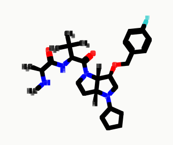 CN[C@@H](C)C(=O)N[C@H](C(=O)N1CC[C@@H]2[C@H]1[C@@H](OCc1ccc(F)cc1)CN2C1CCCC1)C(C)(C)C